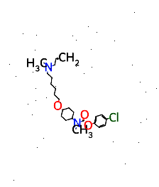 C=CCN(C)CCCCCCOC1CCC(N(C)C(=O)Oc2ccc(Cl)cc2)CC1